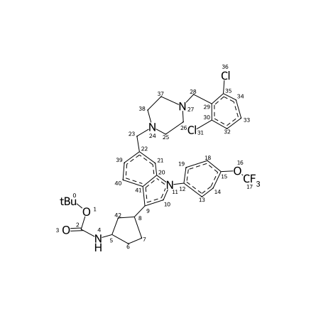 CC(C)(C)OC(=O)NC1CCC(c2cn(-c3ccc(OC(F)(F)F)cc3)c3cc(CN4CCN(Cc5c(Cl)cccc5Cl)CC4)ccc23)C1